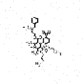 CC=CCOP(=O)(OCC=CC)C1=C(C)NC(C)=C(C(=O)OCCN(C)Cc2ccccc2)C1c1cccc([N+](=O)[O-])c1